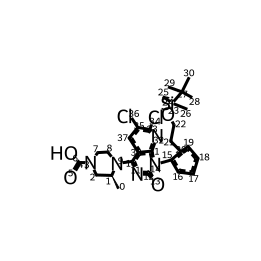 C[C@H]1CN(C(=O)O)CCN1c1nc(=O)n(-c2ccccc2CCO[Si](C)(C)C(C)(C)C)c2nc(Cl)c(Cl)cc12